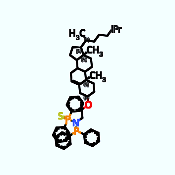 CC(C)CCC[C@@H](C)[C@@H]1CCC2C3CC=C4C[C@H](OCCN(P(c5ccccc5)c5ccccc5)P(=S)(c5ccccc5)c5ccccc5)CC[C@@]4(C)C3CC[C@]21C